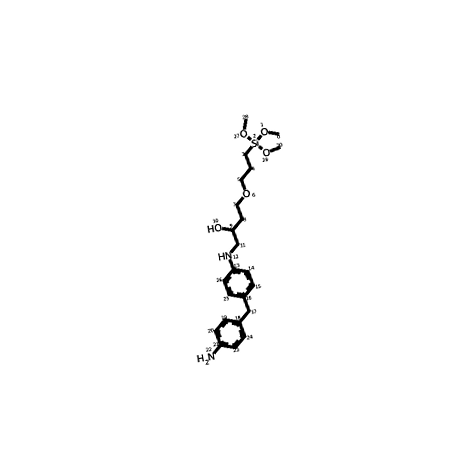 CO[Si](CCCOCCC(O)CNc1ccc(Cc2ccc(N)cc2)cc1)(OC)OC